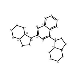 c1ccc2c(N3CCC4CCCCC43)nc(N3CCC4CCCCC43)nc2c1